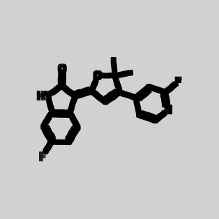 CC1(C)OC(=C2C(=O)Nc3cc(F)ccc32)C=C1c1ccnc(F)c1